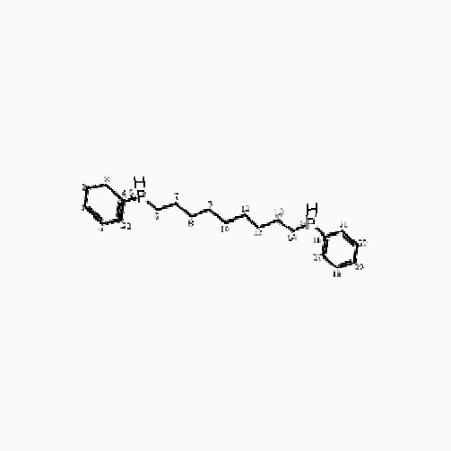 C1=CCCC(PCCCCCCCCCPc2ccccc2)=C1